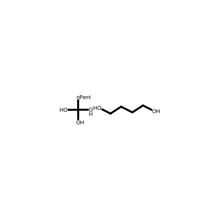 CCCCCC(O)(O)O.OCCCCO